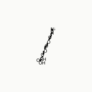 [N-]=[N+]=NCCOCCOCCOCCOCCOCCNC(=O)O